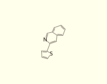 c1csc(-c2cc3ccccc3cn2)c1